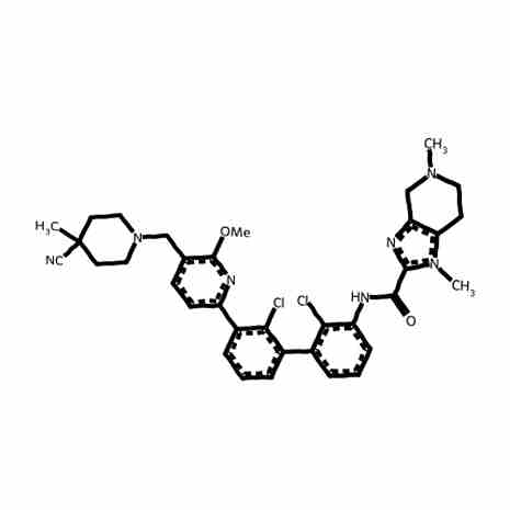 COc1nc(-c2cccc(-c3cccc(NC(=O)c4nc5c(n4C)CCN(C)C5)c3Cl)c2Cl)ccc1CN1CCC(C)(C#N)CC1